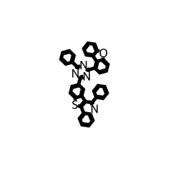 c1ccc(-c2nc(-c3ccc4sc5c6ccccc6nc(-c6ccccc6)c5c4c3)nc(-c3cccc4oc5ccccc5c34)n2)cc1